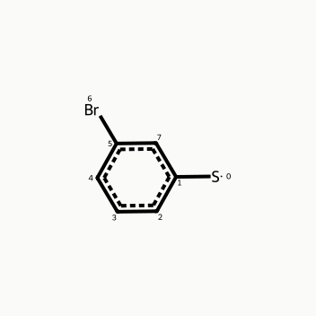 [S]c1cccc(Br)c1